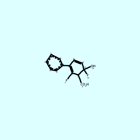 O=C(O)C1C(F)=C(c2ccccc2)C=CC1(O)F